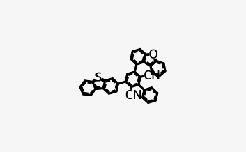 N#Cc1c(-c2ccc3c(c2)sc2ccccc23)cc(-c2cccc3oc4ccccc4c23)c(C#N)c1-c1ccccc1